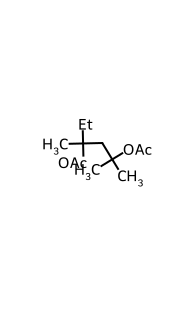 CCC(C)(CC(C)(C)OC(C)=O)OC(C)=O